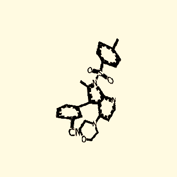 Cc1ccc(S(=O)(=O)n2c(C)c(-c3cccc(C#N)c3)c3c(N4CCOCC4)ccnc32)cc1